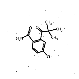 CC(C)(C)C(=O)c1cc(Cl)ccc1C(N)=O